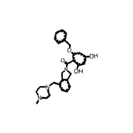 CN1CCN(Cc2cccc3c2CN(C(=O)c2c(O)cc(O)cc2OCc2ccccc2)C3)CC1